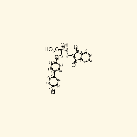 O=C1c2ccccc2C(=O)N1CCC(O)(COc1ccc(-c2ccc(Cl)cc2)cc1)C(=O)O